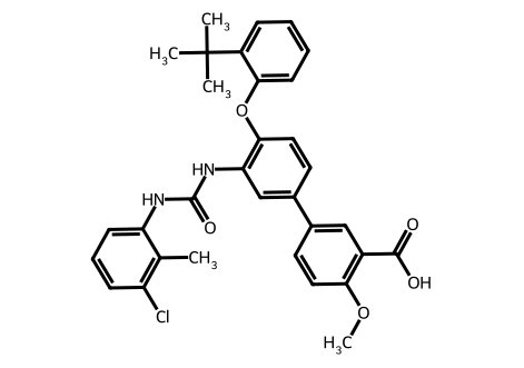 COc1ccc(-c2ccc(Oc3ccccc3C(C)(C)C)c(NC(=O)Nc3cccc(Cl)c3C)c2)cc1C(=O)O